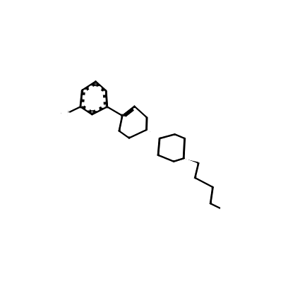 CCCCC[C@H]1CC[C@H](C2CC=C(c3cccc(Cl)c3)CC2)CC1